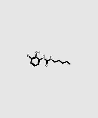 CCCCCNC(=O)Nc1cccc(F)c1O